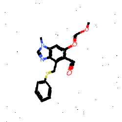 COCOc1cc2c(ncn2C)c(CSc2ccccc2)c1C=O